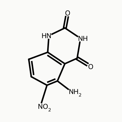 Nc1c([N+](=O)[O-])ccc2[nH]c(=O)[nH]c(=O)c12